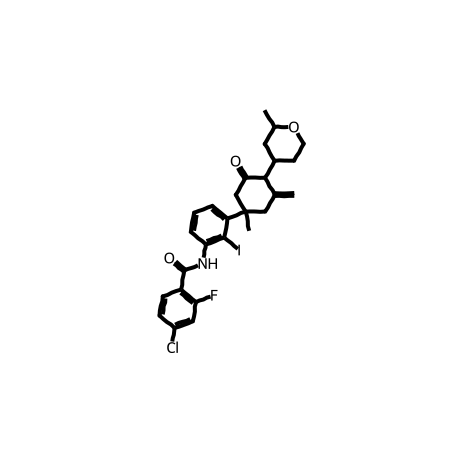 C=C1CC(C)(c2cccc(NC(=O)c3ccc(Cl)cc3F)c2I)CC(=O)C1C1CCOC(C)C1